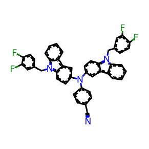 N#Cc1ccc(N(c2ccc3c(c2)c2ccccc2n3Cc2ccc(F)c(F)c2)c2ccc3c(c2)c2ccccc2n3Cc2ccc(F)c(F)c2)cc1